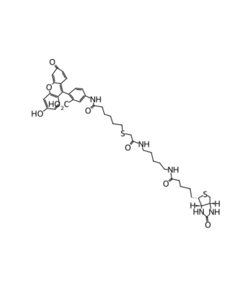 O=C(CCCC[C@@H]1SC[C@@H]2NC(=O)N[C@@H]21)NCCCCCNC(=O)CSCCCCCC(=O)Nc1ccc(-c2c3ccc(=O)cc-3oc3cc(O)ccc23)c(C(=O)O)c1